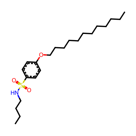 CCCCCCCCCCCCOc1ccc(S(=O)(=O)NCCCC)cc1